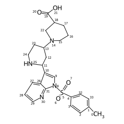 Cc1ccc(S(=O)(=O)n2cc(C3CC(N4CCCC(C(=O)O)C4)CCN3)c3cccnc32)cc1